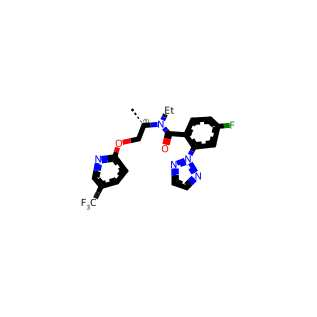 CCN(C(=O)c1ccc(F)cc1-n1nccn1)[C@@H](C)COc1ccc(C(F)(F)F)cn1